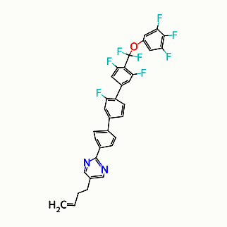 C=CCCc1cnc(-c2ccc(-c3ccc(-c4cc(F)c(C(F)(F)Oc5cc(F)c(F)c(F)c5)c(F)c4)c(F)c3)cc2)nc1